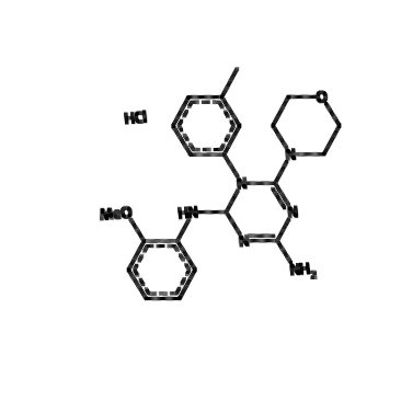 COc1ccccc1NC1N=C(N)N=C(N2CCOCC2)N1c1cccc(C)c1.Cl